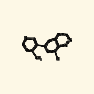 Cc1ccncc1-c1cc(Cl)c2nnccc2c1